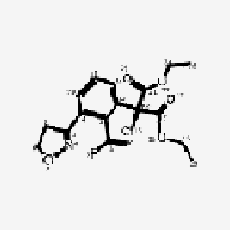 C=C(F)c1c(C2=NOCC2)cccc1C(Cl)(C(=O)OCC)C(=O)OCC